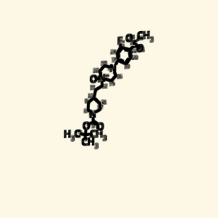 CC(C)(C)OC(=O)N1CCC(CC[N+]2([O-])CCN(c3ccc(S(C)(=O)=O)c(F)c3)CC2)CC1